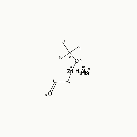 Br.CC(C)(C)[O][Zn][CH2]C=O.N